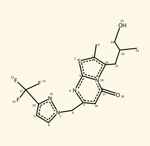 Cc1sc2nc(Cn3ccc(C(F)(F)F)n3)cc(=O)n2c1CC(C)CO